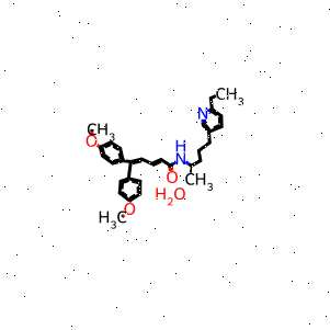 CCc1ccc(CCC[C@@H](C)NC(=O)/C=C/C=C(c2ccc(OC)cc2)c2ccc(OC)cc2)cn1.O